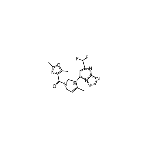 CC1=CCN(C(=O)c2nc(C)oc2C)C[C@H]1c1cc(C(F)F)nc2ncnn12